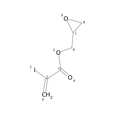 C=C(I)C(=O)OCC1CO1